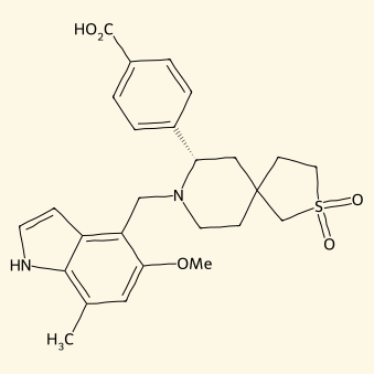 COc1cc(C)c2[nH]ccc2c1CN1CCC2(CCS(=O)(=O)C2)C[C@H]1c1ccc(C(=O)O)cc1